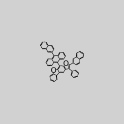 c1ccc(-c2c(-c3ccc4ccccc4c3)oc3c(-c4c5ccccc5c(-c5ccc6ccccc6c5)c5ccccc45)c4oc5ccccc5c4cc23)cc1